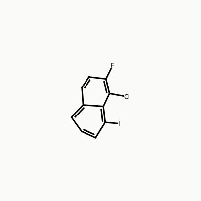 Fc1ccc2cccc(I)c2c1Cl